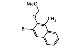 COCOc1c(Br)cc2ccccc2c1C